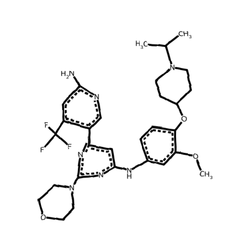 COc1cc(Nc2cc(-c3cnc(N)cc3C(F)(F)F)nc(N3CCOCC3)n2)ccc1OC1CCN(C(C)C)CC1